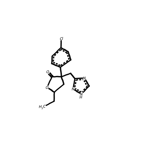 CCC1CC(Cc2nc[nH]n2)(c2ccc(Cl)cc2)C(=O)O1